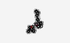 c1cc(-c2ccc(N(c3ccc(-c4ccc5c(ccc6ccccc65)c4)cc3)c3cccc4oc5ccccc5c34)cc2)cc(-c2ccccc2-n2c3ccccc3c3ccccc32)c1